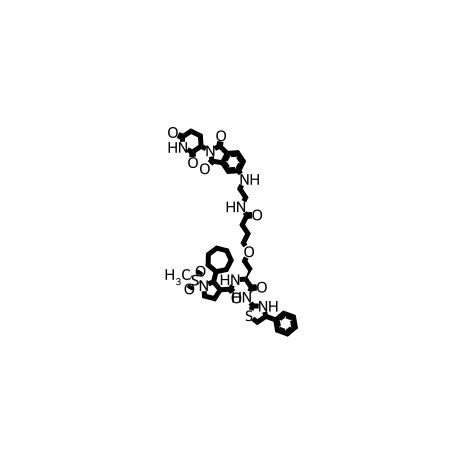 CS(=O)(=O)N1CCC(C(=O)N[C@@H](CCOCCCC(=O)NCCNc2ccc3c(c2)C(=O)N(C2CCC(=O)NC2=O)C3=O)C(=O)NC2NC(c3ccccc3)CS2)C1C1CCCCCC1